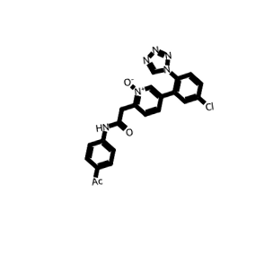 CC(=O)c1ccc(NC(=O)Cc2ccc(-c3cc(Cl)ccc3-n3cnnn3)c[n+]2[O-])cc1